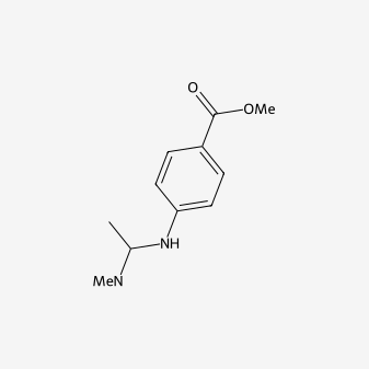 CNC(C)Nc1ccc(C(=O)OC)cc1